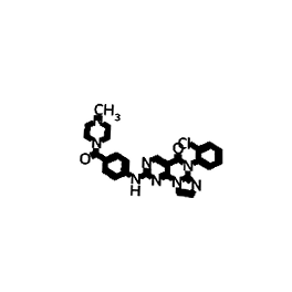 CN1CCN(C(=O)c2ccc(Nc3ncc4c(=O)n(-c5ccccc5Cl)c5nccn5c4n3)cc2)CC1